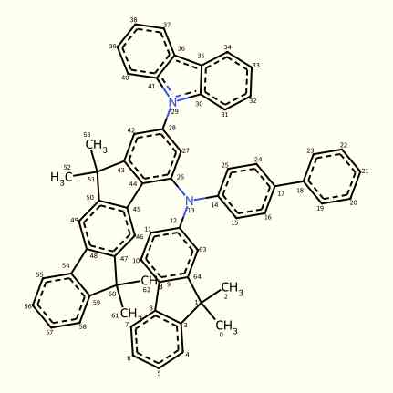 CC1(C)c2ccccc2-c2ccc(N(c3ccc(-c4ccccc4)cc3)c3cc(-n4c5ccccc5c5ccccc54)cc4c3-c3cc5c(cc3C4(C)C)-c3ccccc3C5(C)C)cc21